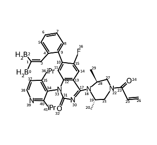 BC(B)=Cc1ccccc1-c1cc2c(cc1F)c(N1[C@@H](C)CN(C(=O)C=C)C[C@@H]1C)nc(=O)n2-c1c(C(C)C)ccnc1C(C)C